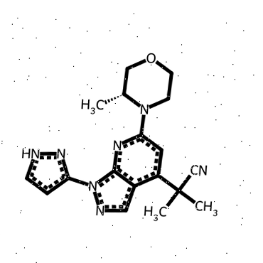 C[C@@H]1COCCN1c1cc(C(C)(C)C#N)c2cnn(-c3cc[nH]n3)c2n1